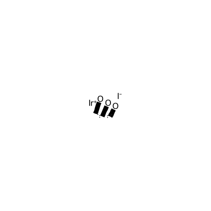 [C]=O.[C]=O.[C]=O.[I-].[Ir+]